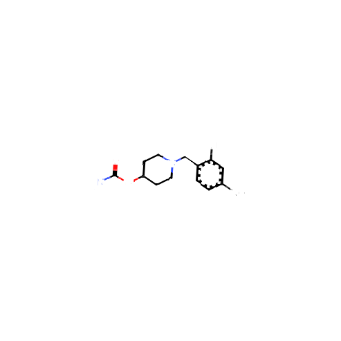 NC(=O)OC1CCN(Cc2ccc([N+](=O)[O-])cc2C(F)(F)F)CC1